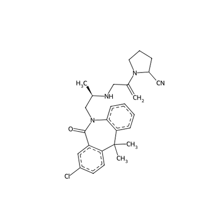 C=C(CN[C@H](C)CN1C(=O)c2cc(Cl)ccc2C(C)(C)c2ccccc21)N1CCCC1C#N